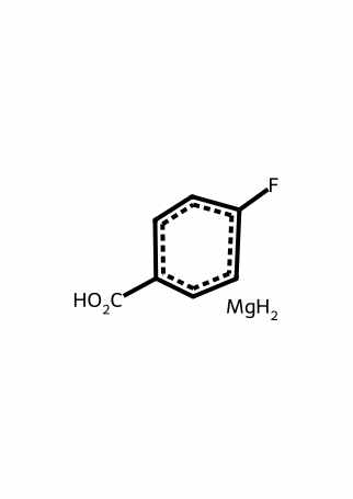 O=C(O)c1ccc(F)cc1.[MgH2]